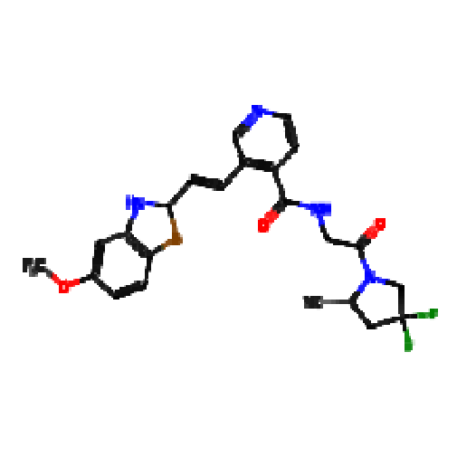 N#CC1CC(F)(F)CN1C(=O)CNC(=O)c1ccncc1C=CC1Nc2cc(OC(F)(F)F)ccc2S1